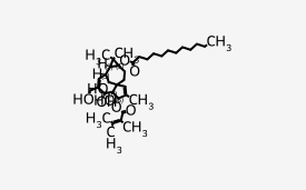 CCCCCCCCCCCC(=O)O[C@@]12CCC34C=C(C)[C@H](OC(=O)C(C)=C(C)C)[C@@]3(O)[C@H](O)C(CO)=C[C@H](C4O)[C@H]1C2(C)C